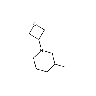 FC1[CH]CCN(C2COC2)C1